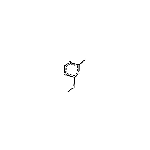 COc1n[c]nc(F)n1